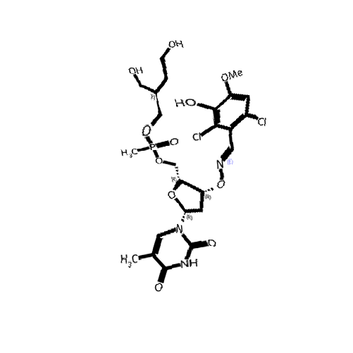 COc1cc(Cl)c(/C=N/O[C@@H]2C[C@H](n3cc(C)c(=O)[nH]c3=O)O[C@@H]2COP(C)(=O)OC[C@@H](CO)CCO)c(Cl)c1O